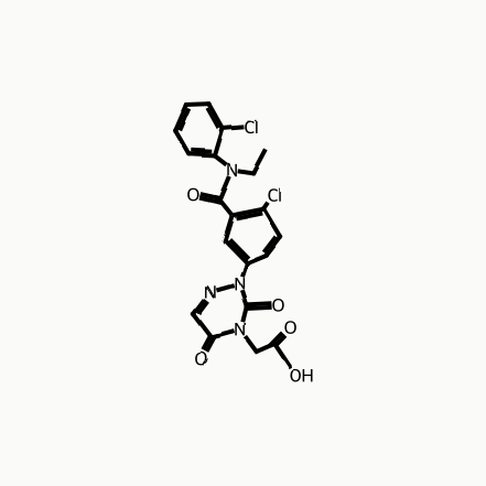 CCN(C(=O)c1cc(-n2ncc(=O)n(CC(=O)O)c2=O)ccc1Cl)c1ccccc1Cl